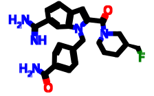 N=C(N)c1ccc2cc(C(=O)N3CCC[C@H](CF)C3)n(Cc3ccc(C(N)=O)cc3)c2c1